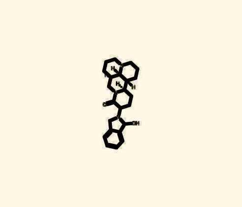 O=C1C(N2Cc3ccccc3C2O)CC[C@@H]2[C@H]3CCCN4CCC[C@@H](CN12)[C@@H]34